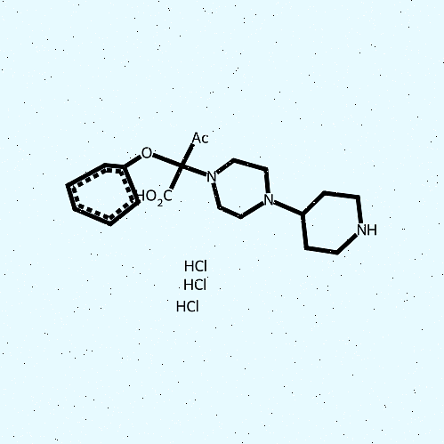 CC(=O)C(Oc1ccccc1)(C(=O)O)N1CCN(C2CCNCC2)CC1.Cl.Cl.Cl